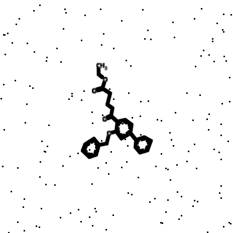 CCOC(=O)CCCC(=O)c1ccc(-c2ccccc2)cc1OCc1ccccc1